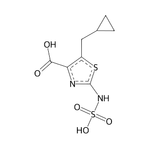 O=C(O)c1nc(NS(=O)(=O)O)sc1CC1CC1